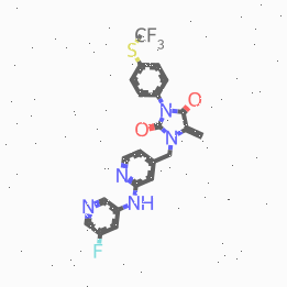 C=C1C(=O)N(c2ccc(SC(F)(F)F)cc2)C(=O)N1Cc1ccnc(Nc2cncc(F)c2)c1